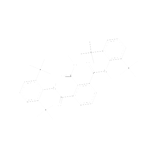 COC(=O)c1c(C(=O)N(F)c2c(C(C)(C)C)cccc2C(C)(C)C)cccc1C(=O)N(F)c1c(C(C)(C)C)cccc1C(C)(C)C